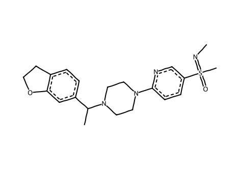 CN=S(C)(=O)c1ccc(N2CCN(C(C)c3ccc4c(c3)OCC4)CC2)nc1